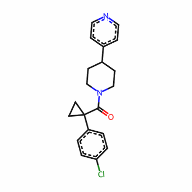 O=C(N1CCC(c2ccncc2)CC1)C1(c2ccc(Cl)cc2)CC1